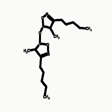 CCCCCC1=NON(ON2ON=C(CCCCC)C2C)C1C